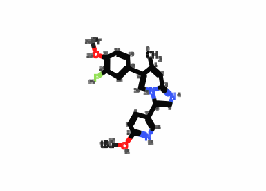 Cc1cc2ncc(-c3ccc(OC(C)(C)C)nc3)n2cc1-c1ccc(OC(C)C)c(F)c1